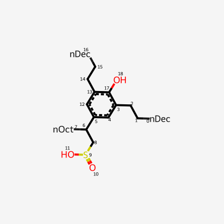 CCCCCCCCCCCCc1cc(C(CCCCCCCC)CS(=O)O)cc(CCCCCCCCCCCC)c1O